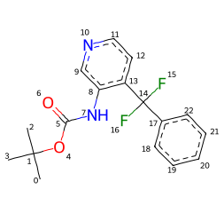 CC(C)(C)OC(=O)Nc1cnccc1C(F)(F)c1ccccc1